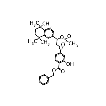 CC1(C)CCC(C)(C)c2cc(C(COc3ccc(C(=O)OCc4ccccc4)c(O)c3)OS(C)(=O)=O)ccc21